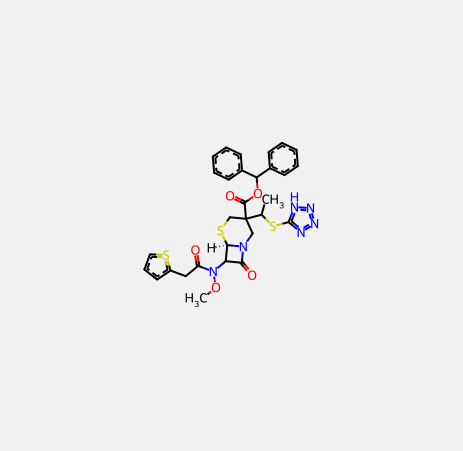 CON(C(=O)Cc1cccs1)C1C(=O)N2CC(C(=O)OC(c3ccccc3)c3ccccc3)(C(C)Sc3nnn[nH]3)CS[C@H]12